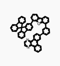 c1cc(-c2ccc3c(c2)c2ccccc2c2nccnc32)cc(-c2cccc3c2oc2c(-c4ccc5c(c4)C4(c6ccccc6-c6ccccc64)c4ccccc4-5)cccc23)c1